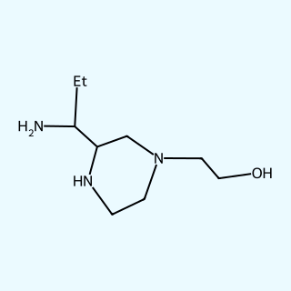 CCC(N)C1CN(CCO)CCN1